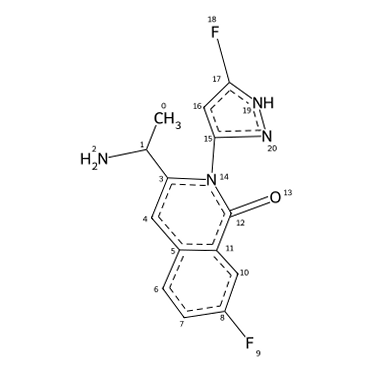 CC(N)c1cc2ccc(F)cc2c(=O)n1-c1cc(F)[nH]n1